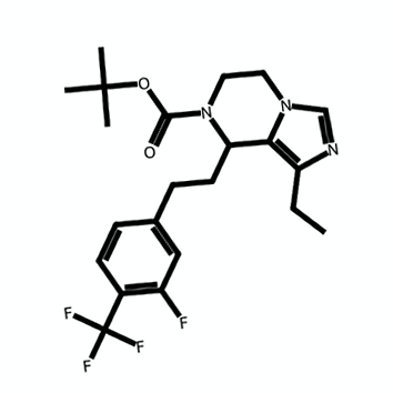 CCc1ncn2c1C(CCc1ccc(C(F)(F)F)c(F)c1)N(C(=O)OC(C)(C)C)CC2